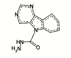 NNC(=O)n1c2ccccc2c2ncncc21